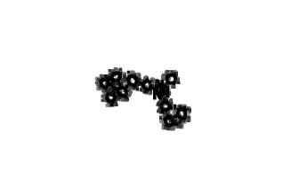 c1ccc(-c2nc(-c3ccc(-c4cccc(-c5cccc6c5-c5ccccc5C65c6ccccc6-c6ccccc65)c4)cc3)nc(-c3ccc(-c4cccc5c4-c4ccccc4C5)cc3)n2)cc1